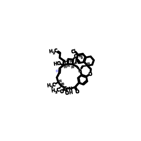 C=CCC[C@@]1(O)/C=C/C[C@H](C)[C@@H](C)S(=O)(=O)NC(=O)c2ccc3c(c2)N(C[C@@H]2[C@H](C)C[C@H]21)C[C@@]1(CCCc2cc(Cl)ccc21)CO3